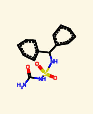 NC(=O)NS(=O)(=O)NC(c1ccccc1)c1ccccc1